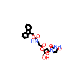 O=C(CCNC(=O)OCC1c2ccccc2-c2ccccc21)OC1C[C@H](n2ccc(=O)[nH]c2=O)O[C@@H]1CO